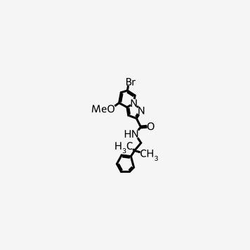 COc1cc(Br)cn2nc(C(=O)NCC(C)(C)c3ccccc3)cc12